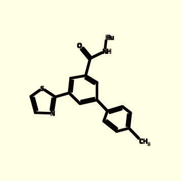 CCC(C)NC(=O)c1cc(-c2ccc(C)cc2)cc(-c2nccs2)c1